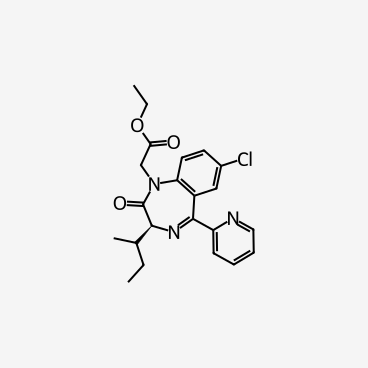 CCOC(=O)CN1C(=O)[C@H](C(C)CC)N=C(c2ccccn2)c2cc(Cl)ccc21